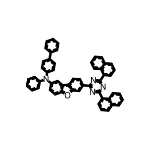 c1ccc(-c2ccc(N(c3ccccc3)c3ccc4oc5cc(-c6nc(-c7cccc8ccccc78)nc(-c7cccc8ccccc78)n6)ccc5c4c3)cc2)cc1